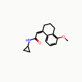 COc1cccc2c1CCC/C2=C/C(=O)NC1CC1